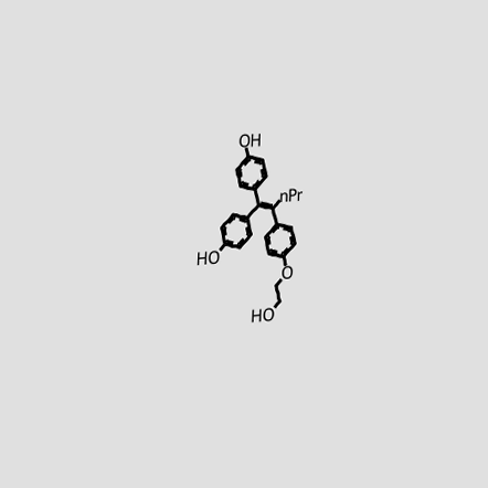 CCCC(=C(c1ccc(O)cc1)c1ccc(O)cc1)c1ccc(OCCO)cc1